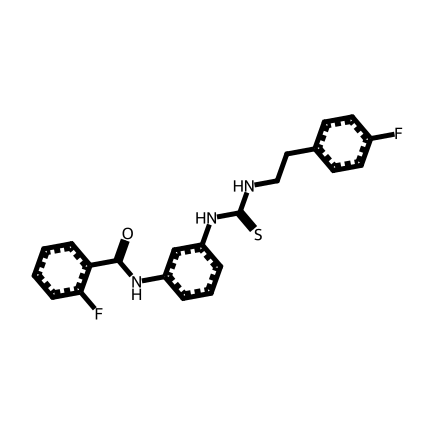 O=C(Nc1cccc(NC(=S)NCCc2ccc(F)cc2)c1)c1ccccc1F